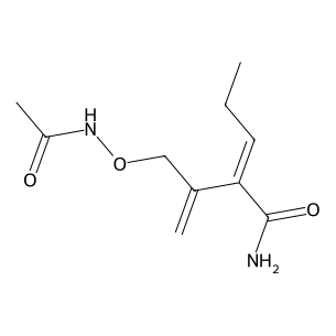 C=C(CONC(C)=O)/C(=C\CC)C(N)=O